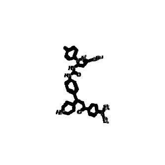 CCN(CC)c1ccc(C(=O)CC(c2ccc(NC(=O)Nc3cc(C(C)(C)C)nn3-c3ccc(C)cc3)cc2)C2CCNCC2)cc1